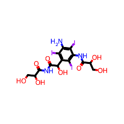 Nc1c(I)c(NC(=O)C(O)CO)c(I)c(C(O)C(=O)NC(=O)C(O)CO)c1I